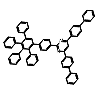 c1ccc(-c2ccc(-c3cc(-c4ccc(-c5ccccc5)cc4)nc(-c4ccc(-c5cc(-c6ccccc6)c(-c6ccccc6)c(-c6ccccc6)c5-c5ccccc5)cc4)n3)cc2)cc1